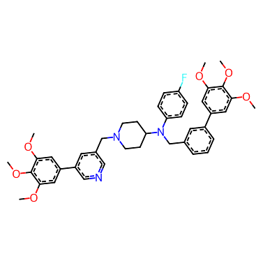 COc1cc(-c2cncc(CN3CCC(N(Cc4cccc(-c5cc(OC)c(OC)c(OC)c5)c4)c4ccc(F)cc4)CC3)c2)cc(OC)c1OC